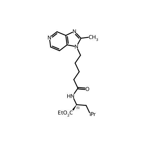 CCOC(=O)[C@H](CC(C)C)NC(=O)CCCCn1c(C)nc2cnccc21